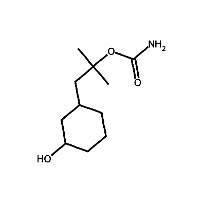 CC(C)(CC1CCCC(O)C1)OC(N)=O